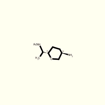 CC(=O)NC(C)[C@@H]1CC[C@@H](N)CO1